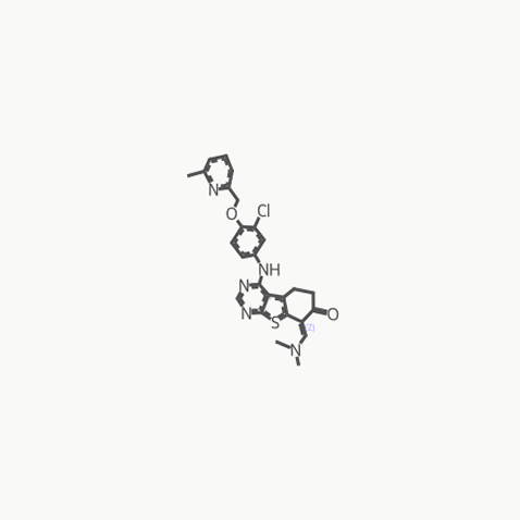 Cc1cccc(COc2ccc(Nc3ncnc4sc5c(c34)CCC(=O)/C5=C/N(C)C)cc2Cl)n1